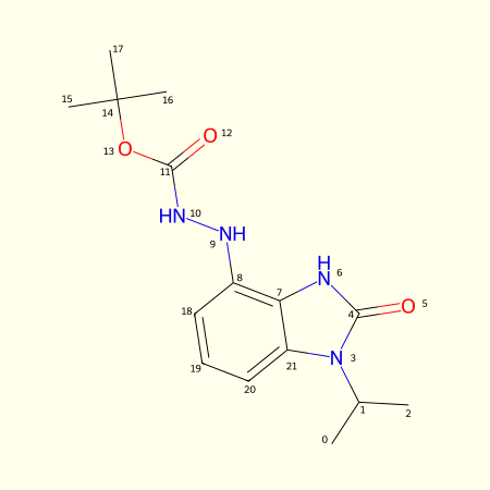 CC(C)n1c(=O)[nH]c2c(NNC(=O)OC(C)(C)C)cccc21